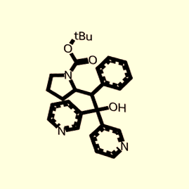 CC(C)(C)OC(=O)N1CCCC1C(c1ccccc1)C(O)(c1cccnc1)c1cccnc1